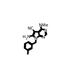 CNc1ncnc2c1c(C#N)c(N)n2Cc1cccc(C)c1